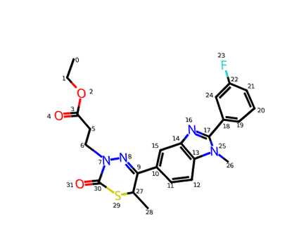 CCOC(=O)CCN1N=C(c2ccc3c(c2)nc(-c2cccc(F)c2)n3C)C(C)SC1=O